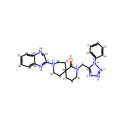 O=C1N(Cc2nnnn2-c2ccccc2)CCCC12CCN(c1cnc3ccccc3n1)CC2